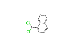 Cl[C](Cl)c1cccc2ccccc12